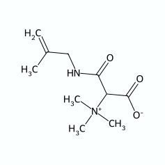 C=C(C)CNC(=O)C(C(=O)[O-])[N+](C)(C)C